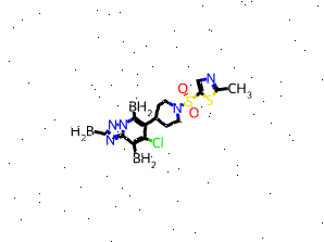 Bc1nc2c(B)c(Cl)c(C3CCN(S(=O)(=O)c4cnc(C)s4)CC3)c(B)n2n1